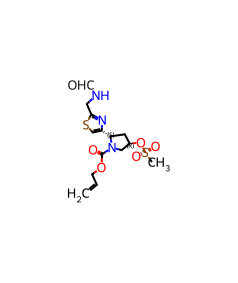 C=CCOC(=O)N1C[C@H](OS(C)(=O)=O)C[C@H]1c1csc(CNC=O)n1